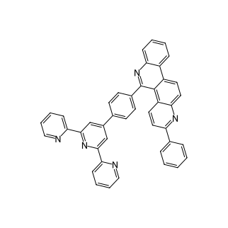 c1ccc(-c2ccc3c(ccc4c5ccccc5nc(-c5ccc(-c6cc(-c7ccccn7)nc(-c7ccccn7)c6)cc5)c34)n2)cc1